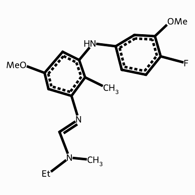 CCN(C)C=Nc1cc(OC)cc(Nc2ccc(F)c(OC)c2)c1C